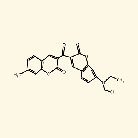 CCN(CC)c1ccc2cc(C(=O)c3cc4ccc(C)cc4oc3=O)c(=O)oc2c1